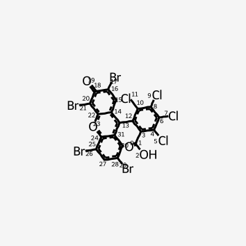 O=C(O)c1c(Cl)c(Cl)c(Cl)c(Cl)c1-c1c2cc(Br)c(=O)c(Br)c-2oc2c(Br)cc(Br)cc12